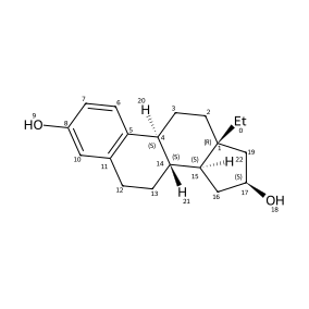 CC[C@]12CC[C@@H]3c4ccc(O)cc4CC[C@H]3[C@@H]1C[C@H](O)C2